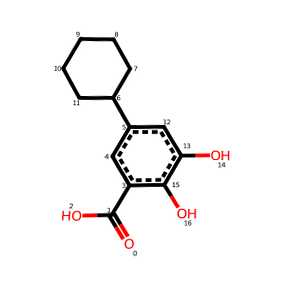 O=C(O)c1cc(C2CCCCC2)cc(O)c1O